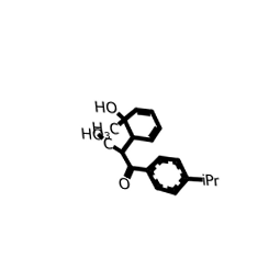 CC(C)c1ccc(C(=O)C(CO)C2C=CC=CC2(C)O)cc1